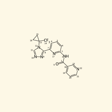 O=C(Nc1cccc(-c2nncn2C2(C(F)(F)F)CC2)n1)c1cccnc1